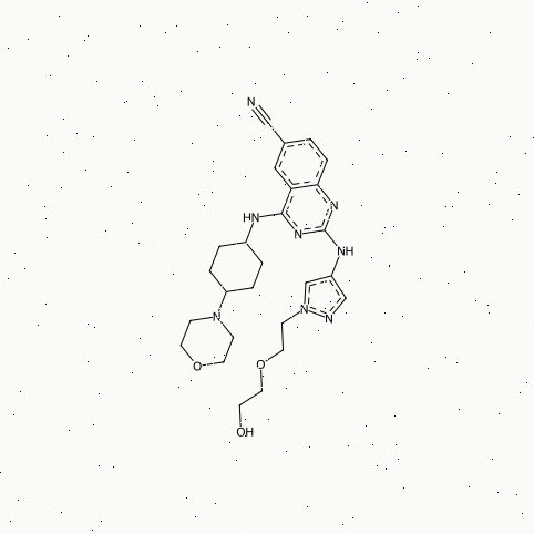 N#Cc1ccc2nc(Nc3cnn(CCOCCO)c3)nc(NC3CCC(N4CCOCC4)CC3)c2c1